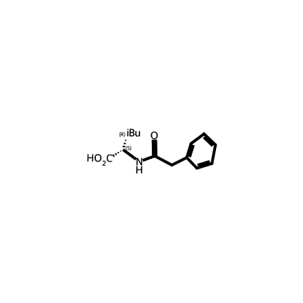 CC[C@@H](C)[C@H](NC(=O)Cc1ccccc1)C(=O)O